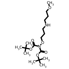 COCCCNCCCON(C(=O)OC(C)(C)C)C(=O)OC(C)(C)C